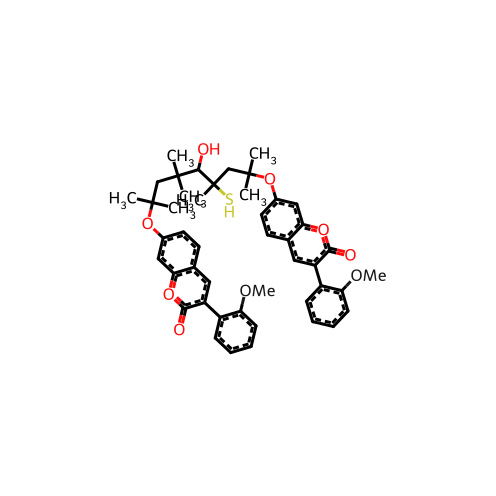 COc1ccccc1-c1cc2ccc(OC(C)(C)CC(C)(C)C(O)C(C)(S)CC(C)(C)Oc3ccc4cc(-c5ccccc5OC)c(=O)oc4c3)cc2oc1=O